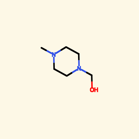 CN1CCN(CO)CC1